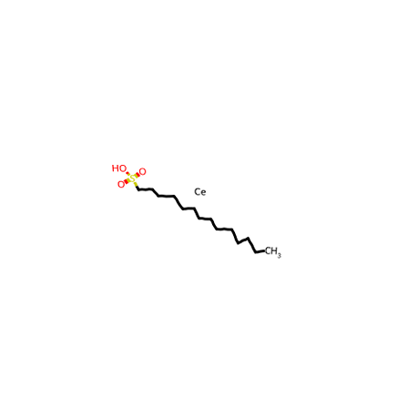 CCCCCCCCCCCCCCS(=O)(=O)O.[Ce]